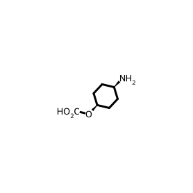 N[C@H]1CC[C@@H](OC(=O)O)CC1